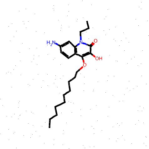 CCCCCCCCCCOc1c(O)c(=O)n(CCC)c2cc(N)ccc12